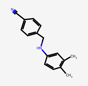 Cc1ccc(NCc2ccc(C#N)cc2)cc1C